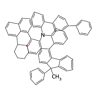 CC1(c2ccccc2)c2ccccc2-c2c(-c3ccccc3N(c3ccccc3-c3ccc(-c4ccccc4)cc3)c3ccccc3-c3cccc4cccc(C5CCCCC5)c34)cccc21